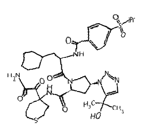 CC(C)S(=O)(=O)c1ccc(C(=O)NC(CC2CCCCC2)C(=O)N2C[C@@H](n3nncc3C(C)(C)O)C[C@H]2C(=O)NC2(C(=O)C(N)=O)CCSCC2)cc1